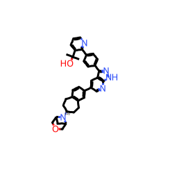 CC(C)(O)c1cccnc1-c1ccc(-c2n[nH]c3ncc(-c4ccc5c(c4)CC[C@@H](N4C6COCC4C6)CC5)cc23)cc1